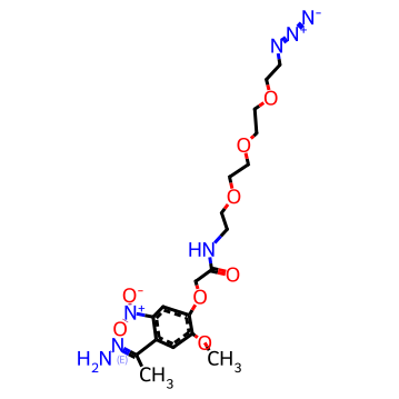 COc1cc(/C(C)=N/N)c([N+](=O)[O-])cc1OCC(=O)NCCOCCOCCOCCN=[N+]=[N-]